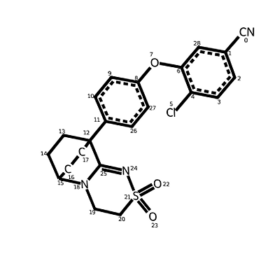 N#Cc1ccc(Cl)c(Oc2ccc(C34CCC(CC3)N3CCS(=O)(=O)N=C34)cc2)c1